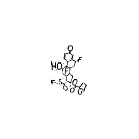 CC1(OC(=O)c2ccco2)CC2C3C[C@H](F)C4=CC(=O)C=C[C@]4(C)[C@@]3(F)[C@@H](O)C[C@]2(C)[C@H]1C(=O)SCF